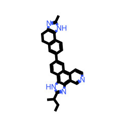 CCC(C)c1nc2c3cnccc3c3cc(-c4ccc5c(c4)CCc4nc(C)[nH]c4-5)ccc3c2[nH]1